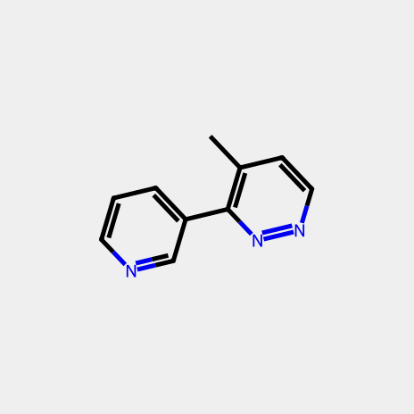 Cc1ccnnc1-c1cccnc1